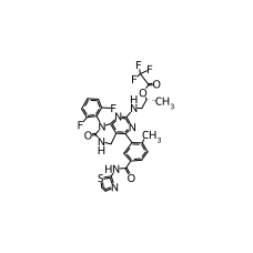 Cc1ccc(C(=O)Nc2nccs2)cc1-c1nc(NC[C@@H](C)OC(=O)C(F)(F)F)nc2c1CNC(=O)N2c1c(F)cccc1F